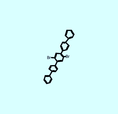 Brc1cc(-c2ccc(-c3ccccc3)cc2)c(Br)cc1-c1ccc(-c2ccccc2)cc1